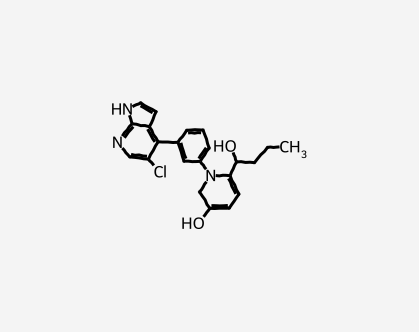 CCCC(O)C1=CC=C(O)CN1c1cccc(-c2c(Cl)cnc3[nH]ccc23)c1